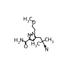 COCCn1nc(C(N)=O)cc1CC(C)(C)C#N